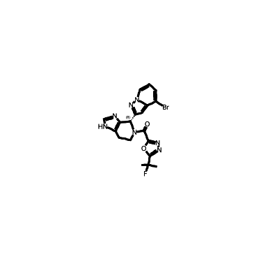 CC(C)(F)c1nnc(C(=O)N2CCc3[nH]cnc3[C@@H]2c2cc3c(Br)cccn3n2)o1